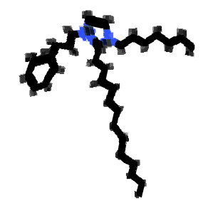 CCCCCCCCCCCCCc1n(CCCCCCC)cc[n+]1CCCc1ccccc1